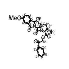 COc1ccc2c(c1)C(=O)N(C1C(=O)N3C(C(=O)OCC(=O)c4ccccc4)[C@](C)(O)CS[C@@H]13)C2=O